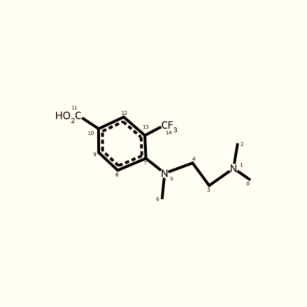 CN(C)CCN(C)c1ccc(C(=O)O)cc1C(F)(F)F